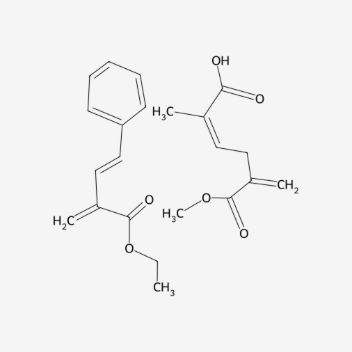 C=C(C=Cc1ccccc1)C(=O)OCC.C=C(CC=C(C)C(=O)O)C(=O)OC